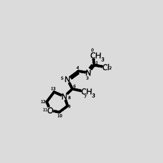 C/C(Cl)=N\C=N/C(C)N1CCOCC1